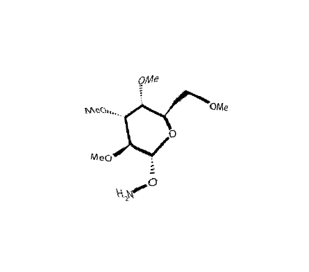 COC[C@H]1O[C@H](ON)[C@@H](OC)[C@H](OC)[C@@H]1OC